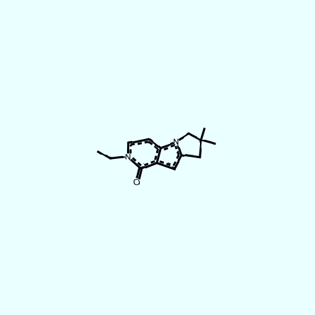 CCn1ccc2c(cc3n2CC(C)(C)C3)c1=O